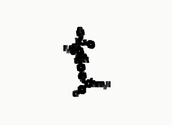 CC1(CNC(=O)O)CCC(c2ccc(Cl)cc2)=C(CN2CCN(c3ccc(C(=O)NS(=O)(=O)c4ccc(NC(CCN5CCOCC5)CSc5ccccc5)c(S(=O)(=O)C(F)(F)F)c4)cc3)CC2)C1